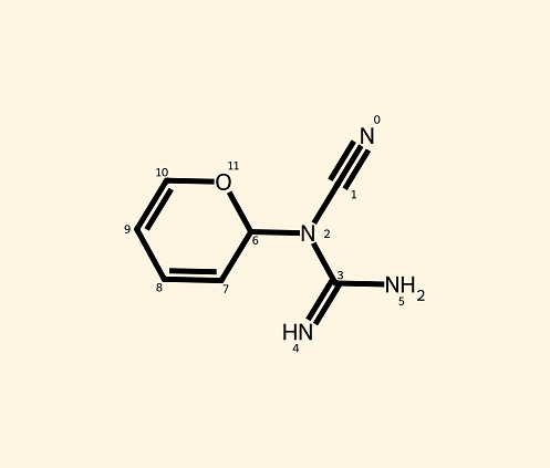 N#CN(C(=N)N)C1C=CC=CO1